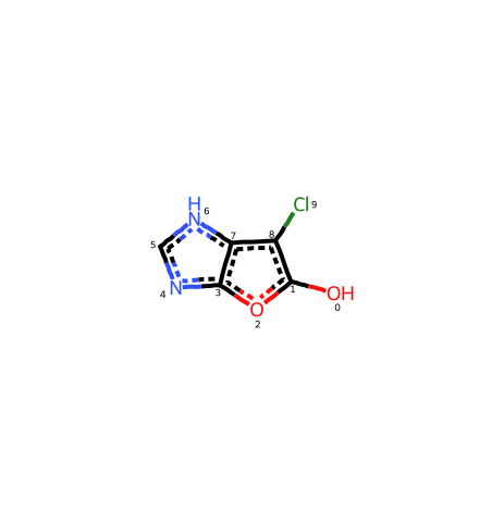 Oc1oc2nc[nH]c2c1Cl